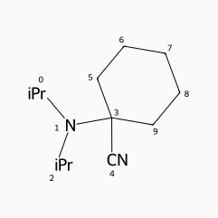 CC(C)N(C(C)C)C1(C#N)CCCCC1